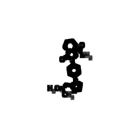 CN(C)Cc1nccn1-c1ccc(N2C[C@@]3(C(N)=O)[CH]CCCN3C2=O)cc1